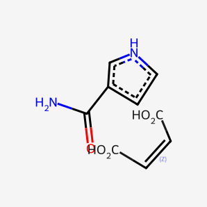 NC(=O)c1cc[nH]c1.O=C(O)/C=C\C(=O)O